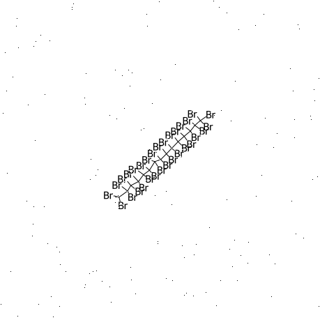 Br[C](Br)C(Br)(Br)C(Br)(Br)C(Br)(Br)C(Br)(Br)C(Br)(Br)C(Br)(Br)C(Br)(Br)C(Br)(Br)C(Br)(Br)C(Br)(Br)C(Br)(Br)C(Br)(Br)C(Br)(Br)C(Br)(Br)Br